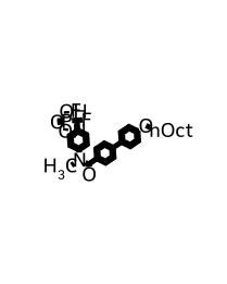 CCCCCCCCOc1ccc(-c2ccc(C(=O)N(C)c3ccc(C(F)(F)P(=O)(O)O)cc3)cc2)cc1